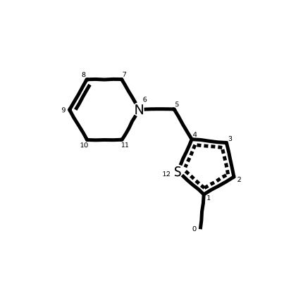 Cc1ccc(CN2CC=CCC2)s1